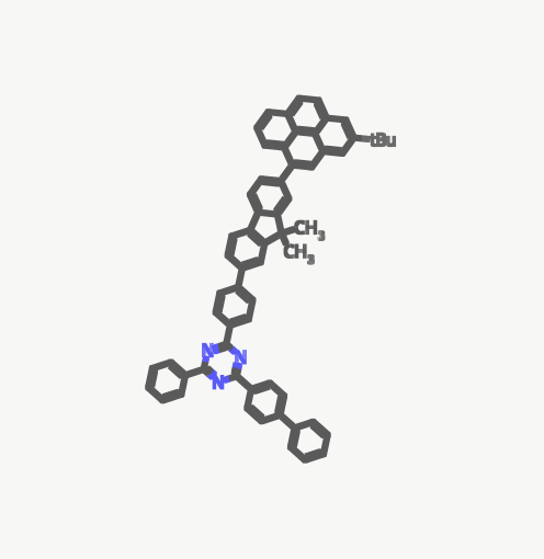 CC(C)(C)c1cc2ccc3cccc4c(-c5ccc6c(c5)C(C)(C)c5cc(-c7ccc(-c8nc(-c9ccccc9)nc(-c9ccc(-c%10ccccc%10)cc9)n8)cc7)ccc5-6)cc(c1)c2c34